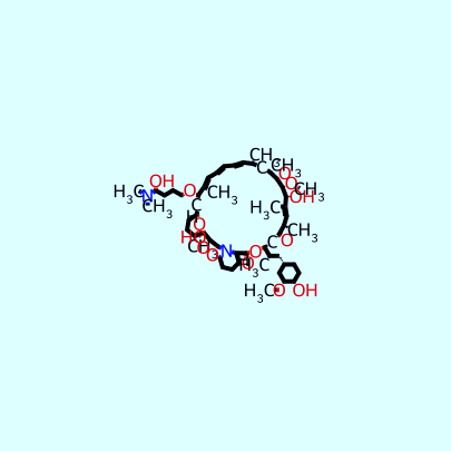 CO[C@@H]1C[C@H](C[C@@H](C)[C@@H]2CC(=O)[C@H](C)/C=C(\C)[C@@H](O)[C@@H](OC)C(=O)[C@H](C)C[C@H](C)/C=C/C=C/C=C(\C)[C@@H](OCCCC(O)N(C)C)C[C@@H]3CC[C@@H](C)[C@@](O)(O3)C(=O)C(=O)N3CCCC[C@H]3C(=O)O2)CC[C@H]1O